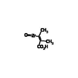 C[C]([Zr]=[O])=C(C)C(=O)O